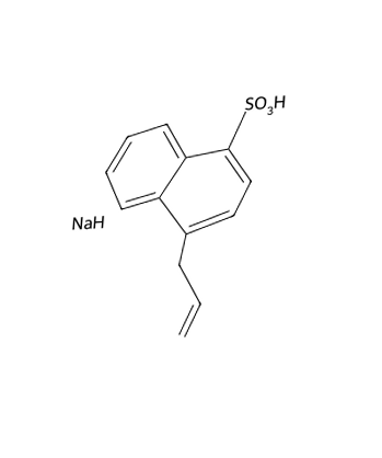 C=CCc1ccc(S(=O)(=O)O)c2ccccc12.[NaH]